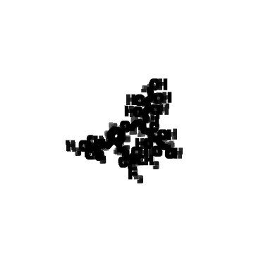 CC(C)(C)C(=O)SCc1ccc(OCCN(C[C@H](O)[C@@H](O)[C@H](O)[C@H](O)CO)C[C@H](O)[C@@H](O)[C@H](O)[C@H](O)CO)cc1CSC(=O)C(C)(C)C